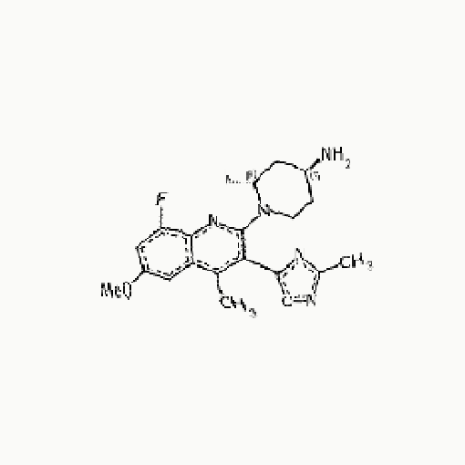 COc1cc(F)c2nc(N3CC[C@H](N)C[C@H]3I)c(-c3nc(C)no3)c(C)c2c1